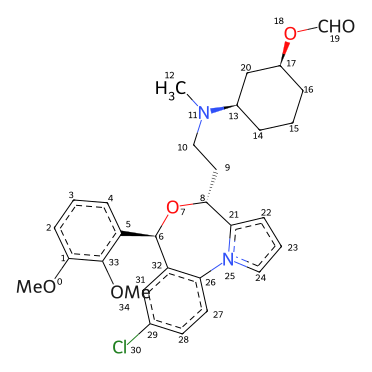 COc1cccc([C@H]2O[C@H](CCN(C)[C@@H]3CCC[C@H](OC=O)C3)c3cccn3-c3ccc(Cl)cc32)c1OC